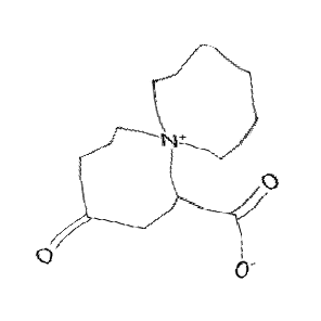 O=C1CC[N+]2(CCCCC2)C(C(=O)[O-])C1